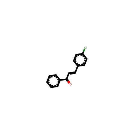 O=C(C=Cc1ccc(Cl)cc1)c1ccccc1